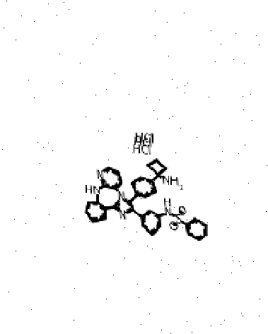 Cl.Cl.Cl.NC1(c2ccc(-c3c(-c4cccc(NS(=O)(=O)c5ccccc5)c4)nc4n3-c3cccnc3Nc3ccccc3-4)cc2)CCC1